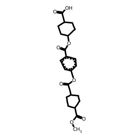 COC(=O)C1CCC(C(=O)Oc2ccc(C(=O)OC3CCC(C(=O)O)CC3)cc2)CC1